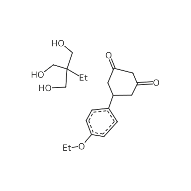 CCC(CO)(CO)CO.CCOc1ccc(C2CC(=O)CC(=O)C2)cc1